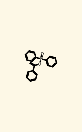 C=C(OP(=O)(c1ccccc1)c1ccccc1)c1ccccc1